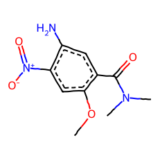 COc1cc([N+](=O)[O-])c(N)cc1C(=O)N(C)C